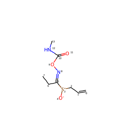 C=CC[S+]([O-])C(CC)=NOC(=O)NC